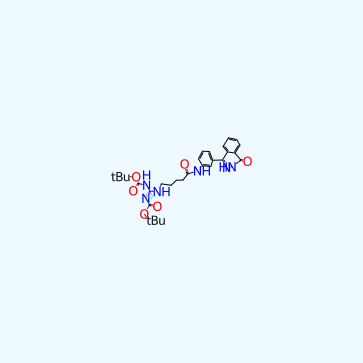 CC(C)(C)OC(=O)/N=C(\NCCCCC(=O)Nc1cccc(-c2n[nH]c(=O)c3ccccc23)c1)NC(=O)OC(C)(C)C